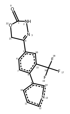 O=C1NN=C(c2ccc(-c3cccnc3)c(C(F)(F)F)c2)CO1